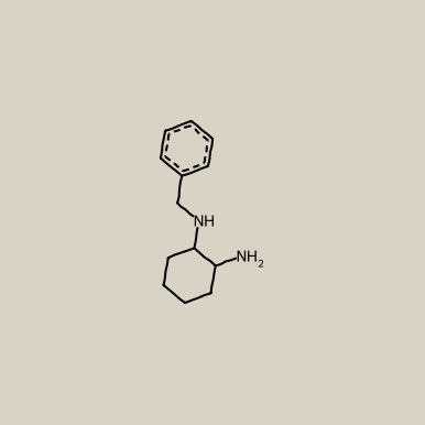 NC1CCCCC1NCc1ccccc1